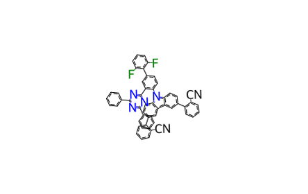 N#Cc1ccccc1-c1ccc2c(c1)c1cc(-c3ccccc3C#N)ccc1n2-c1ccc(-c2c(F)cccc2F)cc1-c1nc(-c2ccccc2)nc(-c2ccccc2)n1